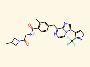 Cc1cc(Cc2nccn3c(C4=CCN=C4C(F)(F)F)cnc23)ccc1C(=O)NCC(=O)N1CC(C)C1